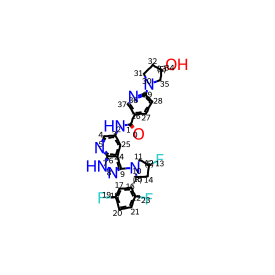 O=C(Nc1cnc2[nH]nc(N3C[C@@H](F)C[C@@H]3c3cc(F)ccc3F)c2c1)c1ccc(N2CC[C@H](O)C2)nc1